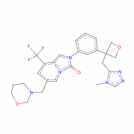 Cn1cnnc1CC1(c2cccc(-n3cc4c(C(F)(F)F)cc(CN5CCCOC5)cn4c3=O)c2)COC1